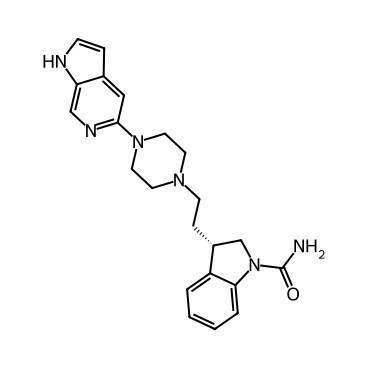 NC(=O)N1C[C@@H](CCN2CCN(c3cc4cc[nH]c4cn3)CC2)c2ccccc21